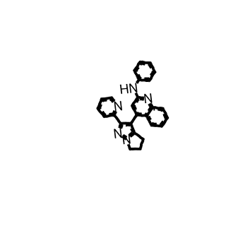 c1ccc(Nc2cc(-c3c(-c4ccccn4)nn4c3CCC4)c3ccccc3n2)cc1